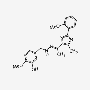 COc1ccc(CN/N=C(\C)c2sc(-c3ccccc3OC)nc2C)cc1O